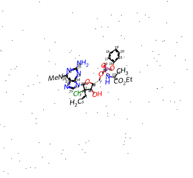 C=C[C@@]1(Cl)[C@H](O)[C@@H](CO[P@](=O)(NC(C)C(=O)OCC)Oc2ccccc2)O[C@H]1n1cnc2c(NC)nc(N)nc21